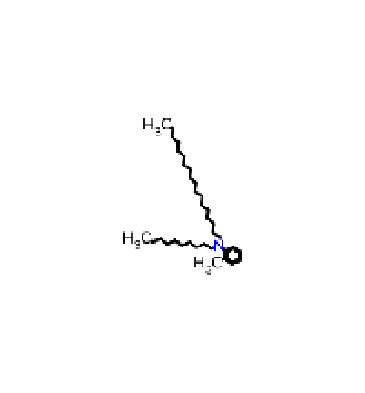 CCCCCCCCCCCCCCCCCCN(CCCCCCCCCC)c1ccccc1C